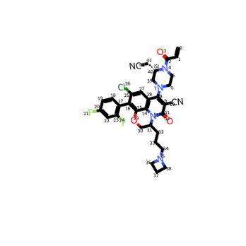 C=CC(=O)N1CCN(c2c(C#N)c(=O)n3c4c(c(-c5ccc(F)cc5F)c(Cl)cc24)OCC3CCCN2CCC2)C[C@@H]1CC#N